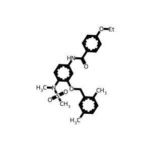 CCOc1ccc(C(=O)Nc2ccc(N(C)S(C)(=O)=O)c(OCc3cc(C)ccc3C)c2)cc1